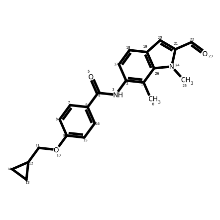 Cc1c(NC(=O)c2ccc(OCC3CC3)cc2)ccc2cc(C=O)n(C)c12